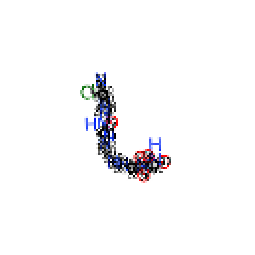 C[C@H]1CN(C(=O)Nc2ccc(N3CCC(CN4CCN(c5ccc6c(c5)C(=O)N(C5CCC(=O)NC5=O)C6=O)CC4)CC3)nc2)CCN1c1ccc(C#N)c(Cl)c1